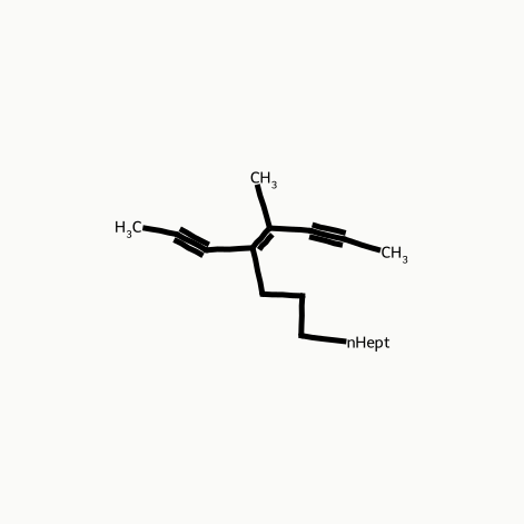 CC#CC(C)=C(C#CC)CCCCCCCCCC